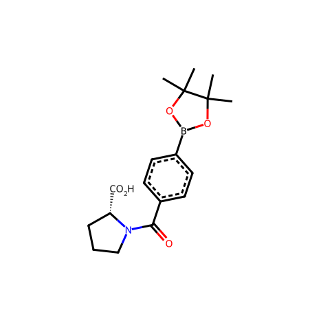 CC1(C)OB(c2ccc(C(=O)N3CCC[C@@H]3C(=O)O)cc2)OC1(C)C